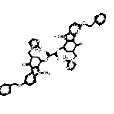 Cc1nccn1CC1CC(OC(=O)C(=O)OC2CC(Cn3ccnc3C)C(=O)c3c2n(C)c2ccc(OCc4ccccc4)cc32)c2c(c3cc(OCc4ccccc4)ccc3n2C)C1=O